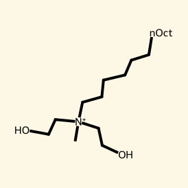 CCCCCCCCCCCCCC[N+](C)(CCO)CCO